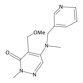 COCc1c(N(C)Cc2cccnc2)cnn(C)c1=O